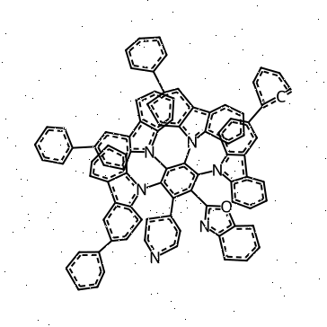 c1ccc(-c2ccc3c(c2)c2ccccc2n3-c2c(-c3ccncc3)c(-c3nc4ccccc4o3)c(-n3c4ccccc4c4cc(-c5ccccc5)ccc43)c(-n3c4ccccc4c4cc(-c5ccccc5)ccc43)c2-n2c3ccccc3c3cc(-c4ccccc4)ccc32)cc1